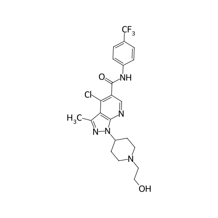 Cc1nn(C2CCN(CCO)CC2)c2ncc(C(=O)Nc3ccc(C(F)(F)F)cc3)c(Cl)c12